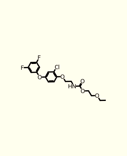 CCOCCOC(=O)NCCOc1ccc(Oc2cc(F)cc(F)c2)cc1Cl